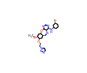 COc1cc2c(cc1OCCn1ccnn1)C=Nc1c(Nc3cccc(Br)c3)ncnc1O2